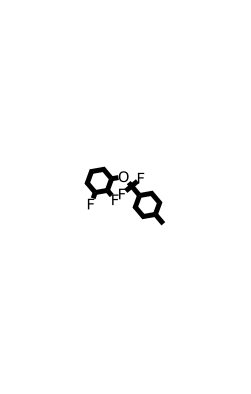 CC1CCC(C(F)(F)OC2CCCC(F)C2F)CC1